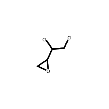 ClCC(Cl)C1CO1